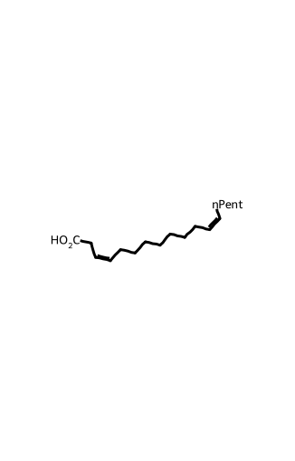 CCCCC/C=C\CCCCCCC/C=C\CC(=O)O